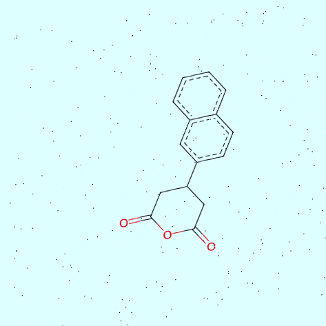 O=C1CC(c2ccc3ccccc3c2)CC(=O)O1